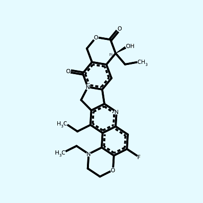 CCc1c2c(nc3cc(F)c4c(c13)N(CC)CCO4)-c1cc3c(c(=O)n1C2)COC(=O)[C@]3(O)CC